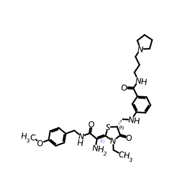 CCN1C(=O)[C@@H](CNc2cccc(C(=O)NCCCN3CCCC3)c2)S/C1=C(/N)C(=O)NCc1ccc(OC)cc1